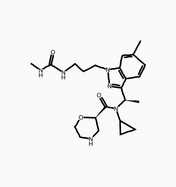 CNC(=O)NCCCn1nc([C@@H](C)N(C(=O)[C@H]2CNCCO2)C2CC2)c2ccc(C)cc21